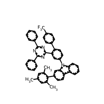 Cc1cc(C)c(-c2ccc3c4ccccc4n(-c4ccc(-c5ccc(C(F)(F)F)cc5)c(-c5nc(-c6ccccc6)nc(-c6ccccc6)n5)c4)c3c2)c(C)c1